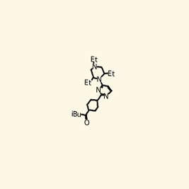 CCC(C)C(=O)C1CCC(c2nccc(N3C(CC)CN(CC)CC3CC)n2)CC1